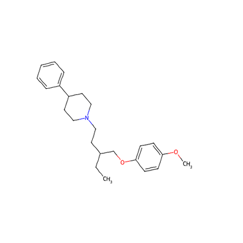 CCC(CCN1CCC(c2ccccc2)CC1)COc1ccc(OC)cc1